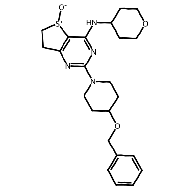 [O-][S+]1CCc2nc(N3CCC(OCc4ccccc4)CC3)nc(NC3CCOCC3)c21